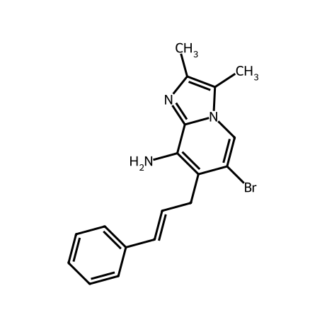 Cc1nc2c(N)c(CC=Cc3ccccc3)c(Br)cn2c1C